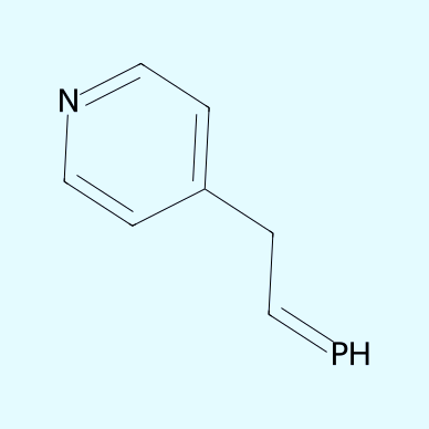 P=CCc1ccncc1